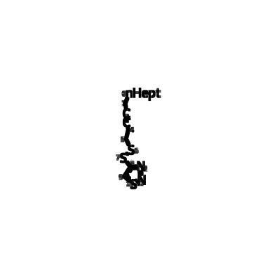 CCCCCCCCCCCCSSc1csnn1